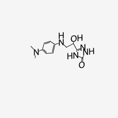 CN(C)c1ccc(NCC(O)c2n[nH]c(=O)[nH]2)cc1